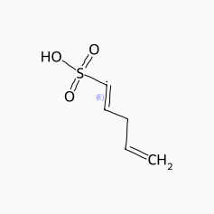 C=CC/C=[C]/S(=O)(=O)O